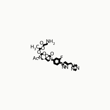 CC(=O)N(C[C@H]1CN(c2ccc(-n3cc(Cn4cncn4)nn3)c(F)c2)C(=O)O1)C(=O)OC(C)OC(=O)CN